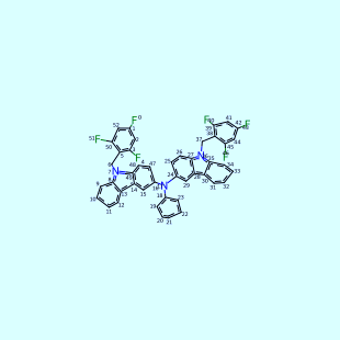 Fc1cc(F)c(Cn2c3ccccc3c3cc(N(c4ccccc4)c4ccc5c(c4)c4ccccc4n5Cc4c(F)cc(F)cc4F)ccc32)c(F)c1